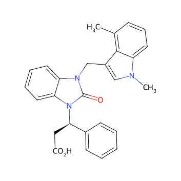 Cc1cccc2c1c(Cn1c(=O)n([C@H](CC(=O)O)c3ccccc3)c3ccccc31)cn2C